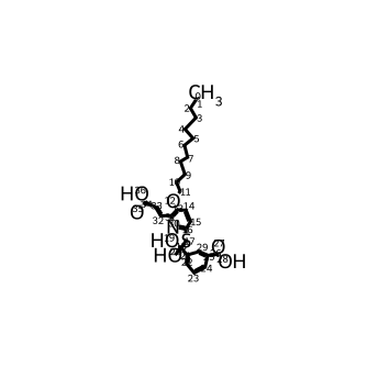 CCCCCCCCCCCCOc1ccc(SC(O)(O)c2cccc(C(=O)O)c2)nc1C=CC(=O)O